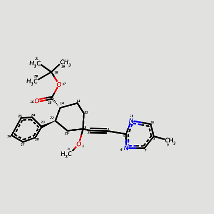 COC1(C#Cc2ncc(C)cn2)CC[C@@H](C(=O)OC(C)(C)C)[C@H](c2ccccc2)C1